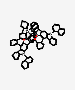 O=S12(c3ccccc3-c3cc(-c4ccccc4-c4c5oc6ccccc6c5cc5c4c4ccccc4n5-c4cccc5ccccc45)ccc31)c1ccccc1-c1cc(-c3ccccc3-c3c4oc5ccccc5c4cc4c3c3ccccc3n4-c3cccc4ccccc34)ccc12